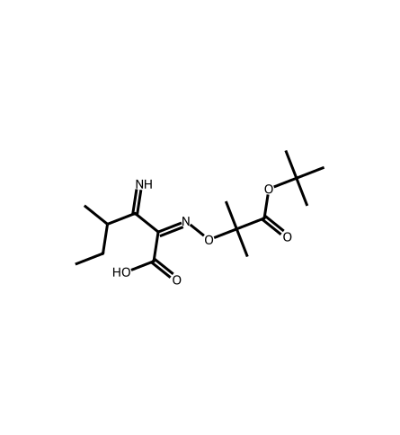 CCC(C)C(=N)/C(=N/OC(C)(C)C(=O)OC(C)(C)C)C(=O)O